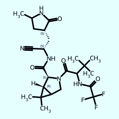 CC1C[C@@H](C[C@@H](C#N)NC(=O)[C@@H]2[C@@H]3C(CN2C(=O)C(NC(=O)C(F)(F)F)C(C)(C)C)C3(C)C)C(=O)N1